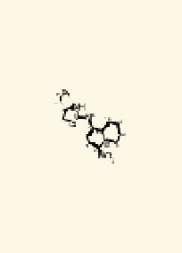 CC(C)C[C@H]1CS/C(=N\c2ccc([N+](=O)[O-])c3ccccc23)N1